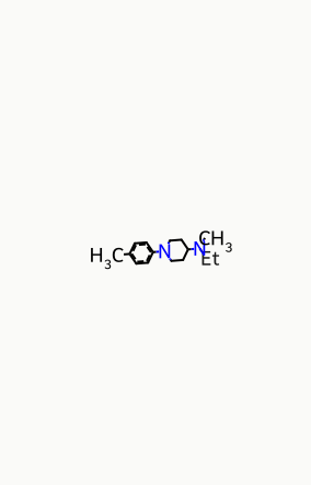 CCN(C)C1CCN(c2ccc(C)cc2)CC1